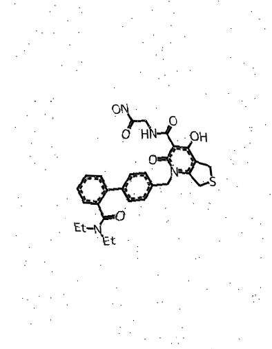 CCN(CC)C(=O)c1ccccc1-c1ccc(Cn2c3c(c(O)c(C(=O)NCC(=O)N=O)c2=O)CSC3)cc1